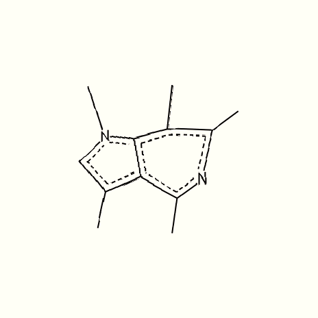 Cc1nc(C)c2c(C)cn(C)c2c1C